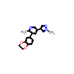 Cc1ncc(-c2cnn(C)c2)cc1-c1ccc2c(c1)OCCO2